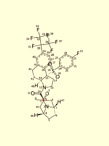 CC(=O)N1[C@@H]2CC[C@H]1C[C@H](C(=O)N1CC[C@]3(S(=O)(=O)c4ccc(F)cc4)c4ccc(C(F)(C(F)(F)F)C(F)(F)F)cc4CC[C@H]13)C2